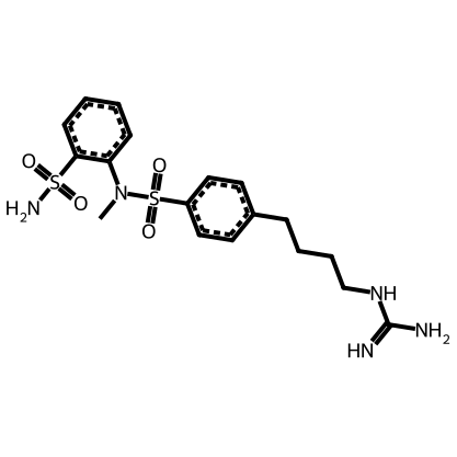 CN(c1ccccc1S(N)(=O)=O)S(=O)(=O)c1ccc(CCCCNC(=N)N)cc1